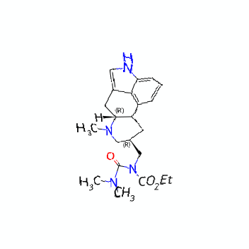 CCOC(=O)N(C[C@@H]1CC2c3cccc4[nH]cc(c34)C[C@H]2N(C)C1)C(=O)N(C)C